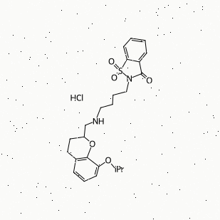 CC(C)Oc1cccc2c1OC(CNCCCCN1C(=O)c3ccccc3S1(=O)=O)CC2.Cl